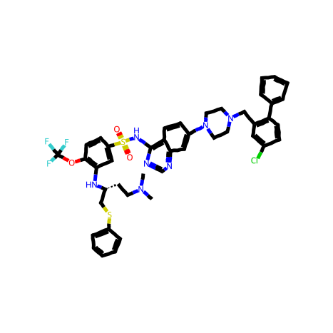 CN(C)CC[C@H](CSc1ccccc1)Nc1cc(S(=O)(=O)Nc2ncnc3cc(N4CCN(Cc5cc(Cl)ccc5-c5ccccc5)CC4)ccc23)ccc1OC(F)(F)F